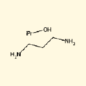 CC(C)O.NCCCN